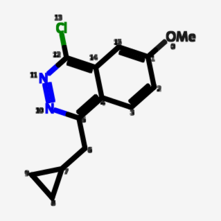 COc1ccc2c(CC3CC3)nnc(Cl)c2c1